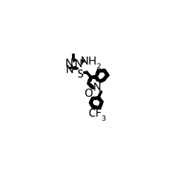 Cc1nnc(SCc2cc(=O)n(Cc3ccc(C(F)(F)F)cc3)c3ccccc23)n1N